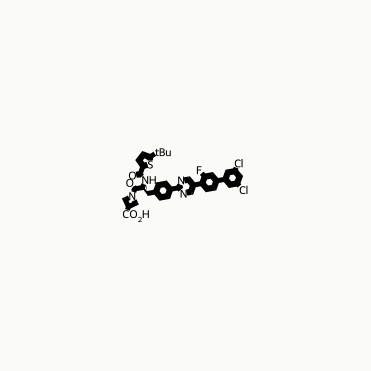 CC(C)(C)c1ccc(C(=O)N[C@@H](Cc2ccc(-c3ncc(-c4ccc(-c5cc(Cl)cc(Cl)c5)cc4F)cn3)cc2)C(=O)N2CC(C(=O)O)C2)s1